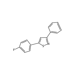 Fc1ccc(-c2cc(-c3ccccc3)ns2)cc1